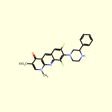 CCOC(=O)c1cn(C)c2nc3c(F)c(N4CCNC(c5ccccc5)C4)c(F)cc3cc2c1=O